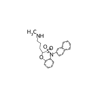 CNCCCC1Oc2ccccc2N(c2ccc3ccccc3c2)S1(=O)=O